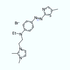 CCN(CCn1cc[n+](C)c1C)c1ccc(/N=N/c2ncc(C)s2)cc1.[Br-]